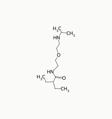 CCC(CC)C(=O)NCCOCCNC(C)C